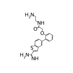 N=C(N)c1cc2cc(-c3ccccc3OCC(=O)NCCN)ccc2s1